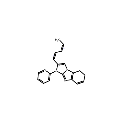 C/C=C\C=C/c1cn2c3c(nc2n1-c1ccccn1)C=CCC3